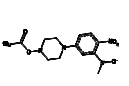 C[S+]([O-])c1cc(N2CCN(OC(=O)C(C)(C)C)CC2)ccc1[N+](=O)[O-]